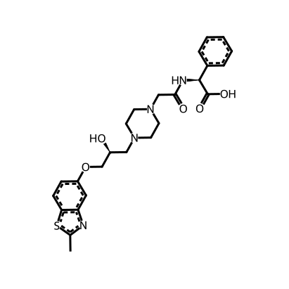 Cc1nc2cc(OC[C@@H](O)CN3CCN(CC(=O)N[C@H](C(=O)O)c4ccccc4)CC3)ccc2s1